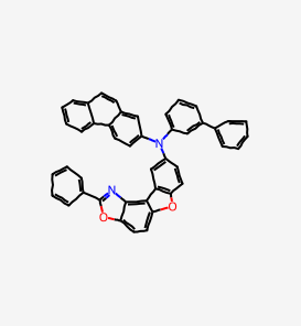 c1ccc(-c2cccc(N(c3ccc4c(ccc5ccccc54)c3)c3ccc4oc5ccc6oc(-c7ccccc7)nc6c5c4c3)c2)cc1